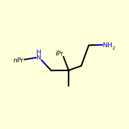 CCCNCC(C)(CCN)C(C)C